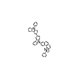 C1=CC2c3cc(-c4ccc5c(c4)c4ccccc4n5-c4ccc5c(ccc6ccc7oc(-c8ccccc8)nc7c65)c4)ccc3N(c3ccccc3)C2C=C1